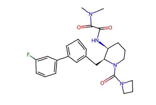 CN(C)C(=O)C(=O)N[C@H]1CCCN(C(=O)N2CCC2)[C@H]1Cc1cccc(-c2cccc(F)c2)c1